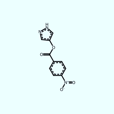 O=C(Oc1cn[nH]c1)c1ccc([N+](=O)[O-])cc1